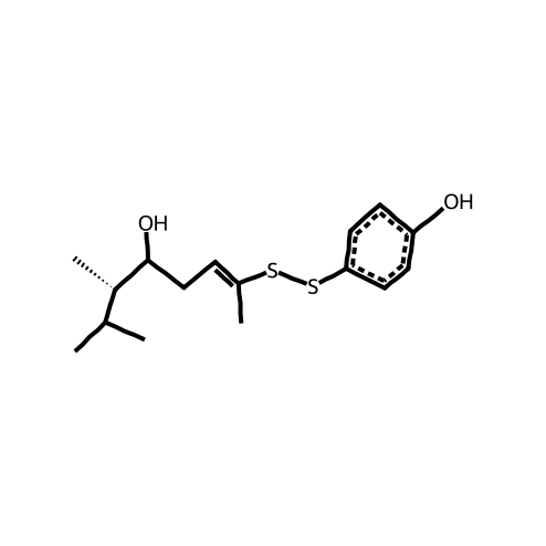 C/C(=C\CC(O)[C@@H](C)C(C)C)SSc1ccc(O)cc1